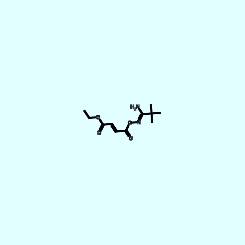 CCOC(=O)/C=C/C(=O)O/N=C(\N)C(C)(C)C